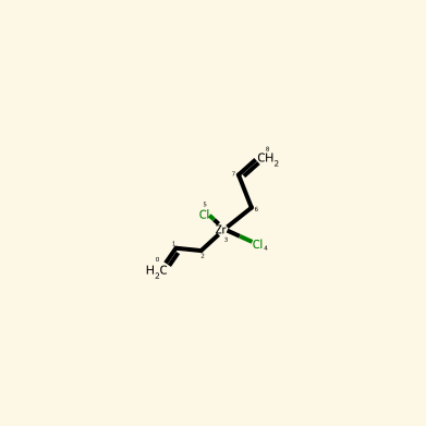 C=C[CH2][Zr]([Cl])([Cl])[CH2]C=C